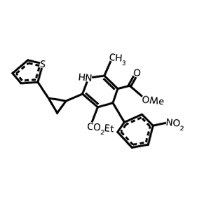 CCOC(=O)C1=C(C2CC2c2cccs2)NC(C)=C(C(=O)OC)C1c1cccc([N+](=O)[O-])c1